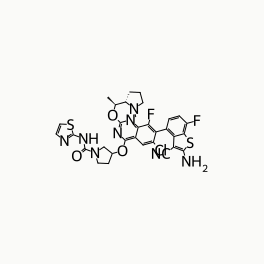 C[C@H](Oc1nc(OC2CCN(C(=O)Nc3nccs3)C2)c2cc(Cl)c(-c3ccc(F)c4sc(N)c(C#N)c34)c(F)c2n1)[C@@H]1CCCN1C